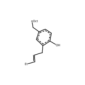 CCC=CCc1cc(CCCCCCCCC)ccc1O